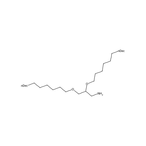 CCCCCCCCCCCCCCCCOCC(CN)OCCCCCCCCCCCCCCCC